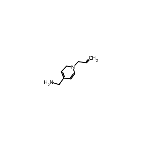 C=CCN1C=CC(CN)=CC1